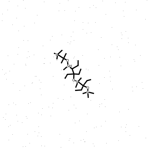 CCC([SiH](C)OC(C)(C)[Si](C)(C)C)C(CC)(CC)O[Si](C)(C)C(CC)(CC)O[Si](C)(C)C